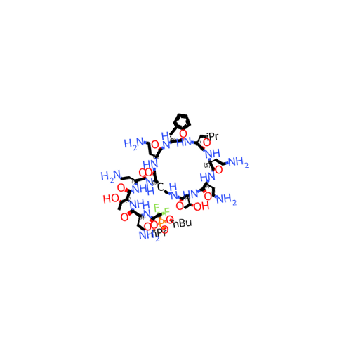 CCCCOP(=O)(OCCC)C(F)(F)C(=O)N[C@@H](CCN)C(=O)N[C@H](C(=O)N[C@@H](CCN)C(=O)N[C@H]1CCNC(=O)[C@H](C(C)O)NC(=O)[C@H](CCN)NC(=O)[C@H](CCN)NC(=O)[C@H](CC(C)C)NC(=O)[C@@H](Cc2ccccc2)NC(=O)[C@H](CCN)NC1=O)C(C)O